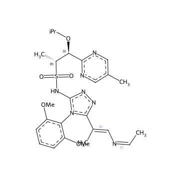 C/C=N\C=C(/C)c1nnc(NS(=O)(=O)[C@H](C)[C@@H](OC(C)C)c2ncc(C)cn2)n1-c1c(OC)cccc1OC